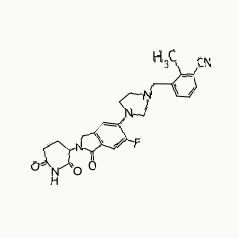 Cc1c(C#N)cccc1CN1CCN(c2cc3c(cc2F)C(=O)N(C2CCC(=O)NC2=O)C3)CC1